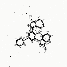 Fc1nn2c3c(cccc13)B1c3c-2cc(-c2ccccc2)cc3-n2nc(F)c3cccc1c32